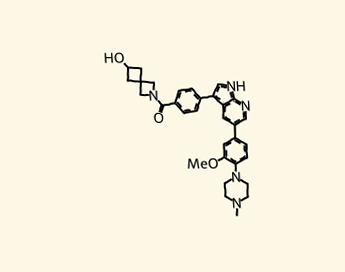 COc1cc(-c2cnc3[nH]cc(-c4ccc(C(=O)N5CC6(CC(O)C6)C5)cc4)c3c2)ccc1N1CCN(C)CC1